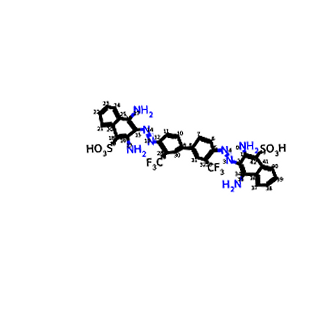 Nc1c(/N=N/c2ccc(-c3ccc(/N=N/c4c(N)c(S(=O)(=O)O)c5ccccc5c4N)c(C(F)(F)F)c3)cc2C(F)(F)F)c(N)c2ccccc2c1S(=O)(=O)O